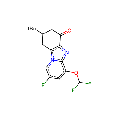 CC(C)(C)C1CC(=O)c2nc3c(OC(F)F)cc(F)cn3c2C1